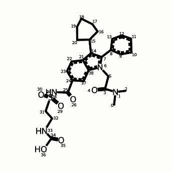 CN(C)C(=O)Cn1c(-c2ccccc2)c(C2CCCCC2)c2ccc(C(=O)NS(=O)(=O)CCNC(=O)O)cc21